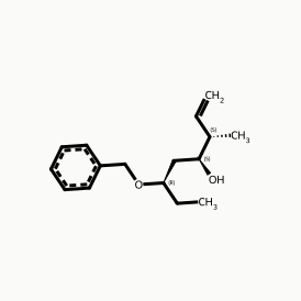 C=C[C@H](C)[C@@H](O)C[C@@H](CC)OCc1ccccc1